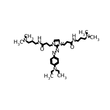 CCN(CC)c1ccc(/N=N/c2n(CCC(=O)NCCCN(C)C)cc[n+]2CCC(=O)NCCCN(C)C)cc1